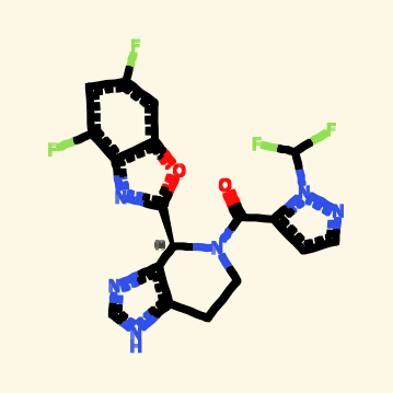 O=C(c1ccnn1C(F)F)N1CCc2[nH]cnc2[C@H]1c1nc2c(F)cc(F)cc2o1